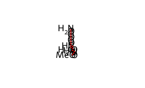 COC(=O)c1cnc(NC(=O)c2ccc(NCCOCCOCCOCCOCCOCCN)cc2C)s1